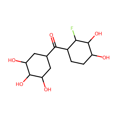 O=C(C1CC(O)C(O)C(O)C1)C1CCC(O)C(O)C1F